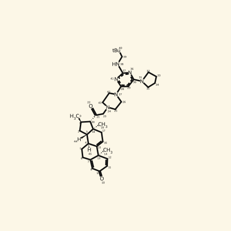 C[C@@H]1C[C@H]2[C@@H]3CCC4=CC(=O)C=C[C@]4(C)C3=CC[C@]2(C)[C@H]1C(=O)CN1CCN(c2cc(N3CCCC3)nc(NCC(C)(C)C)n2)CC1